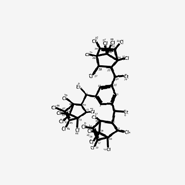 CCC(c1cc(C(CC)C2C(Cl)C3(Cl)C(Cl)=C(Cl)C2(Cl)C3(Cl)Cl)cc(C(CC)C2C(Cl)C3(Cl)C(Cl)=C(Cl)C2(Cl)C3(Cl)Cl)c1)C1C(Cl)C2(Cl)C(Cl)=C(Cl)C1(Cl)C2(Cl)Cl